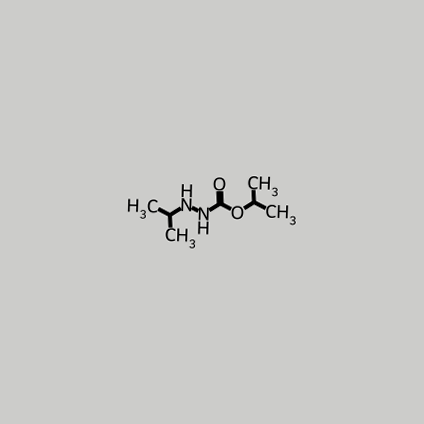 CC(C)NNC(=O)OC(C)C